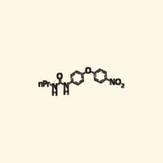 CCCNC(=O)Nc1ccc(Oc2ccc([N+](=O)[O-])cc2)cc1